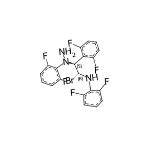 NN(c1c(F)cccc1F)[C@@H](c1c(F)cccc1F)[C@@H](Br)Nc1c(F)cccc1F